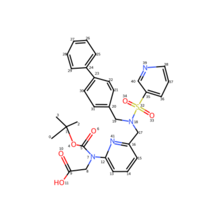 CC(C)(C)OC(=O)N(CC(=O)O)c1cccc(CN(Cc2ccc(-c3ccccc3)cc2)S(=O)(=O)c2cccnc2)n1